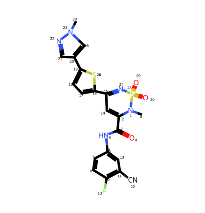 CN1C(C(=O)Nc2ccc(F)c(C#N)c2)=CC(c2ccc(-c3cnn(C)c3)s2)=NS1(=O)=O